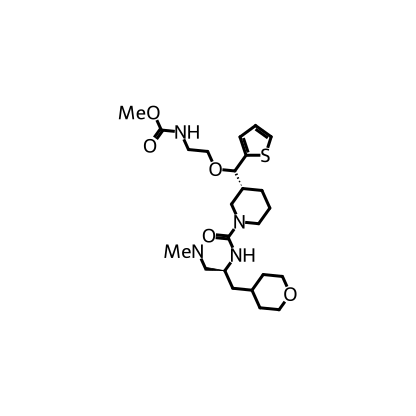 CNC[C@H](CC1CCOCC1)NC(=O)N1CCC[C@@H](C(OCCNC(=O)OC)c2cccs2)C1